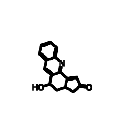 O=C1C=C2c3nc4ccccc4cc3C(O)CC2C1